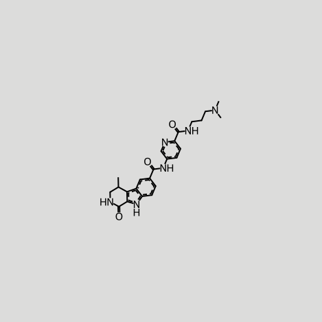 CC1CNC(=O)c2[nH]c3ccc(C(=O)Nc4ccc(C(=O)NCCCN(C)C)nc4)cc3c21